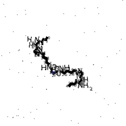 C=CCN=C(N)Nc1cnn(CCCCCNC(=O)/C=C\C(=O)OC(N)CCCCn2ncc(NC(N)=NCC=C)n2)n1